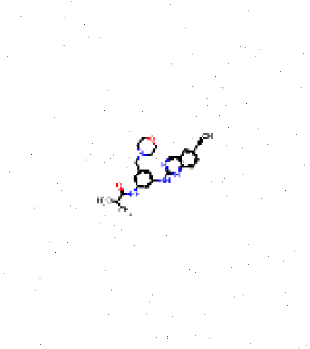 C#Cc1ccc2nc(Nc3cc(CN4CCOCC4)cc(NC(=O)C(C)C)c3)ncc2c1